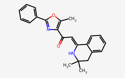 Cc1oc(-c2ccccc2)nc1C(=O)/C=C1\NC(C)(C)Cc2ccccc21